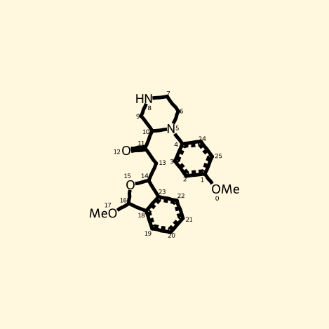 COc1ccc(N2CCNCC2C(=O)CC2OC(OC)c3ccccc32)cc1